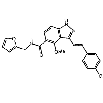 COc1c(C(=O)NCc2ccco2)ccc2[nH]nc(/C=C/c3ccc(Cl)cc3)c12